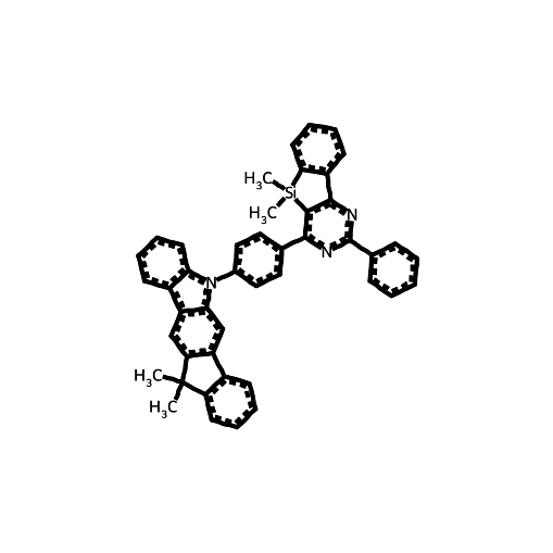 CC1(C)c2ccccc2-c2cc3c(cc21)c1ccccc1n3-c1ccc(-c2nc(-c3ccccc3)nc3c2[Si](C)(C)c2ccccc2-3)cc1